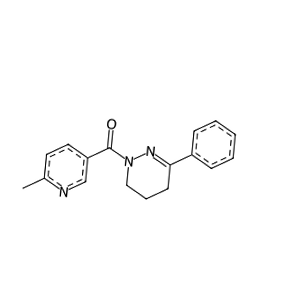 Cc1ccc(C(=O)N2CCCC(c3ccccc3)=N2)cn1